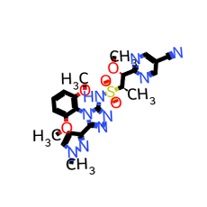 COc1cccc(OC)c1-n1c(NS(=O)(=O)[C@@H](C)[C@H](OC)c2ncc(C#N)cn2)nnc1-c1ccn(C)n1